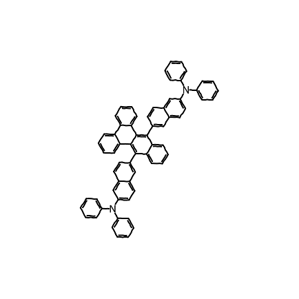 c1ccc(N(c2ccccc2)c2ccc3cc(-c4c5ccccc5c(-c5ccc6cc(N(c7ccccc7)c7ccccc7)ccc6c5)c5c6ccccc6c6ccccc6c45)ccc3c2)cc1